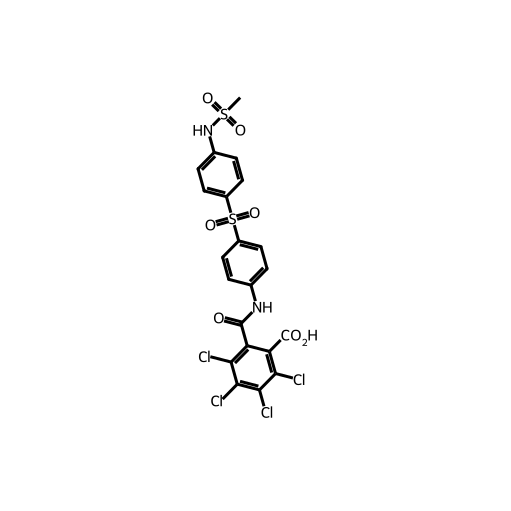 CS(=O)(=O)Nc1ccc(S(=O)(=O)c2ccc(NC(=O)c3c(Cl)c(Cl)c(Cl)c(Cl)c3C(=O)O)cc2)cc1